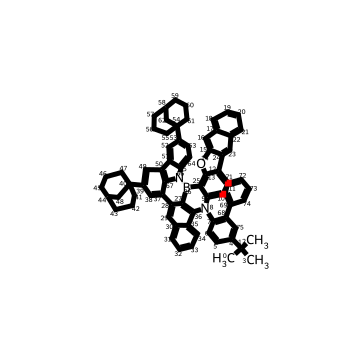 CC(C)(C)c1ccc(N2c3ccc4c(oc5cc6ccccc6cc54)c3B3c4c(cc5ccccc5c42)-c2cc(C45CCCC(CCC4)C5)cc4c5cc(C67CCCC(CCC6)C7)ccc5n3c24)c(-c2ccccc2)c1